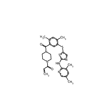 C=CC(=O)N1CCN(C(=O)c2cc(Sc3cnc(Nc4ncc(C)cc4C)s3)c(C)cc2C)CC1